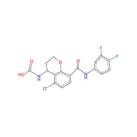 O=C(O)NC1CCOc2c(C(=O)Nc3ccc(F)c(F)c3)ccc(Cl)c21